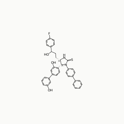 Oc1cccc(-c2ccc([C@@H]3[C@H](CCC(O)c4ccc(F)cc4)NC(=S)N3c3ccc(-c4ccccc4)cc3)c(O)c2)c1